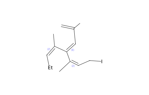 C=C(C)/C=C(C(\C)=C/CC)/C(C)=C\CI